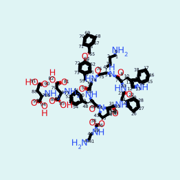 NCCCC[C@@H]1NC(=O)[C@@H](Cc2c[nH]c3ccccc23)NC(=O)[C@H](c2ccccc2)NC(=O)[C@@H]2C[C@H](OC(=O)NCCN)CN2C(=O)[C@H](Cc2ccccc2)NC(=O)[C@H](Cc2ccc(OCc3ccccc3)cc2)NC1=O.N[C@@H](CC(=O)O)C(=O)O.N[C@@H](CC(=O)O)C(=O)O